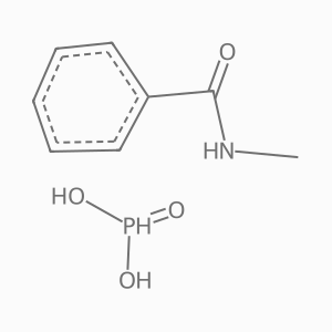 CNC(=O)c1ccccc1.O=[PH](O)O